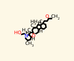 C=CC(=O)CCC1(C)CCCC2[C@@H]3CC[C@@]4(CC(C)=C3C[C@@H]21)O[C@@H]1C[C@H](C)CN(CCO)[C@H]1[C@H]4C